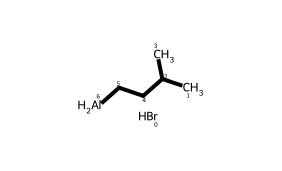 Br.CC(C)C[CH2][AlH2]